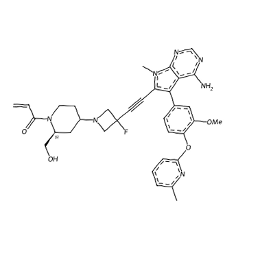 C=CC(=O)N1CCC(N2CC(F)(C#Cc3c(-c4ccc(Oc5cccc(C)n5)c(OC)c4)c4c(N)ncnc4n3C)C2)C[C@H]1CO